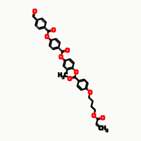 C=CC(=O)OCCCCOc1ccc(C(=O)Oc2ccc(OC(=O)c3ccc(OC(=O)c4ccc(C=O)cc4)cc3)cc2C)cc1